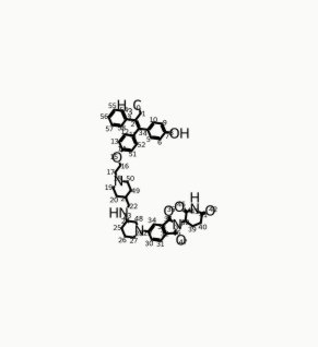 CCC(=C(c1ccc(O)cc1)c1ccc(OCCN2CCC(CNC3CCCN(c4ccc5c(c4)C(=O)N(C4CCC(=O)NC4=O)C5=O)C3)CC2)cc1)c1ccccc1